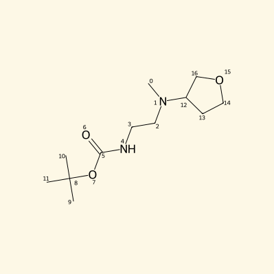 CN(CCNC(=O)OC(C)(C)C)C1CCOC1